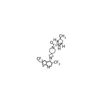 C=C1C[C@@H]2C[C@H]1[C@@H](C(=O)N1CCC3(CC1)CN(c1c(C(F)(F)F)cnc4sc(CC(F)(F)F)cc14)C3)N2